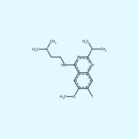 COc1cc2c(NCCN(C)C)nc(N(C)C)nc2cc1I